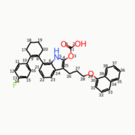 O=C(O)Oc1[nH]c2c(C3=C(c4ccc(F)cc4)CCCC3)cccc2c1CCCOc1cccc2ccccc12